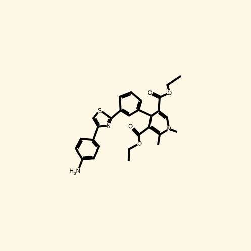 CCOC(=O)C1=CN(C)C(C)=C(C(=O)OCC)C1c1cccc(-c2nc(-c3ccc(N)cc3)cs2)c1